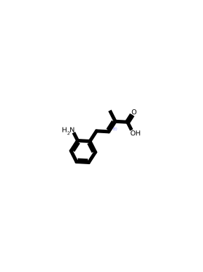 C/C(=C\Cc1ccccc1N)C(=O)O